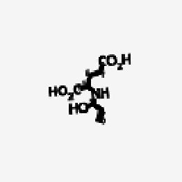 C=CC(O)NC(CCC(=O)O)C(=O)O